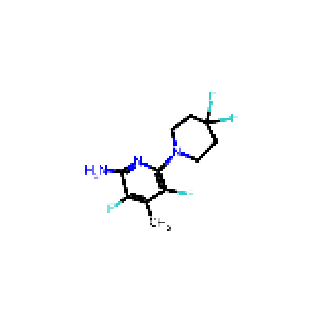 Cc1c(F)c(N)nc(N2CCC(F)(F)CC2)c1F